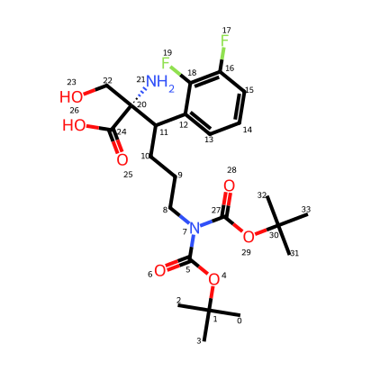 CC(C)(C)OC(=O)N(CCCC(c1cccc(F)c1F)[C@](N)(CO)C(=O)O)C(=O)OC(C)(C)C